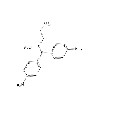 CCCC(C)C(c1ccc(N)cc1)c1ccc(N)cc1